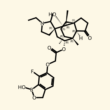 CCN1CC[C@@]2(C[C@@H](OC(=O)COc3ccc4c(c3F)B(O)OC4)[C@]3(C)[C@H](C)CC[C@]4(CCC(=O)[C@H]43)[C@@H](C)[C@@H]2O)C1C